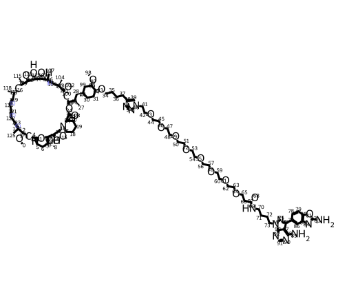 CO[C@H]1C[C@@H]2CC[C@@H](C)[C@@](O)(O2)C(=O)C(=O)N2CCCC[C@H]2C(=O)O[C@H]([C@H](C)C[C@@H]2CC[C@@H](OCCCCc3cn(CCOCCOCCOCCOCCOCCOCCOCCOCCC(=O)NCCCCn4nc(-c5ccc6oc(N)nc6c5)c5c(N)ncnc54)nn3)[C@H](OC)C2)CC(=O)[C@H](C)/C=C(\C)[C@@H](O)[C@@H](O)C(=O)[C@H](C)C[C@H](C)/C=C/C=C/C=C/1C